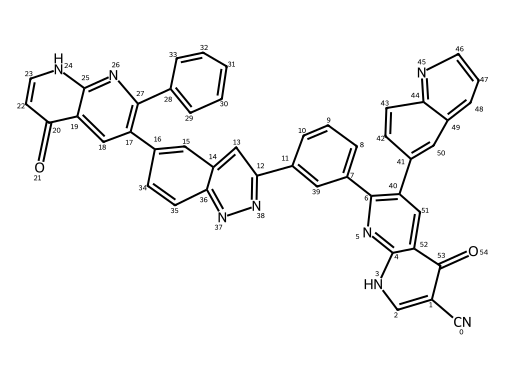 N#Cc1c[nH]c2nc(-c3cccc(-c4cc5cc(-c6cc7c(=O)cc[nH]c7nc6-c6ccccc6)ccc5nn4)c3)c(-c3ccc4ncccc4c3)cc2c1=O